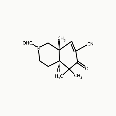 CC1(C)C(=O)C(C#N)=C[C@@]2(C)CN(C=O)CC[C@H]12